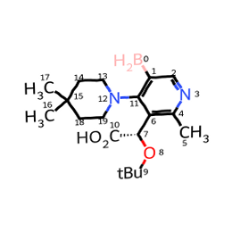 Bc1cnc(C)c([C@H](OC(C)(C)C)C(=O)O)c1N1CCC(C)(C)CC1